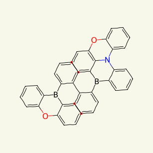 c1ccc2c(c1)Oc1ccccc1B2c1ccccc1-c1ccccc1B1c2ccccc2N2c3ccccc3Oc3cccc1c32